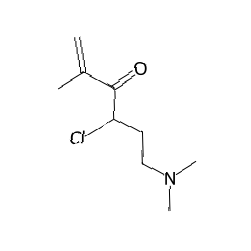 C=C(C)C(=O)C(Cl)CCN(C)C